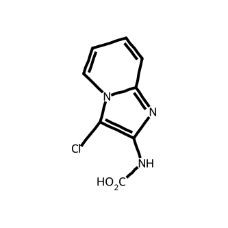 O=C(O)Nc1nc2ccccn2c1Cl